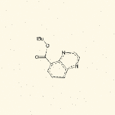 CC(C)(C)OC(=O)c1cccc2nccnc12